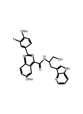 COc1ccc2nc(-c3ccc(OC)c(F)c3)nc(C(=O)NC(CO)Cc3c[nH]c4cccnc34)c2c1